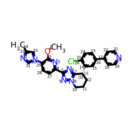 COc1nc(-c2nc3n(n2)CCC[C@H]3c2cc(-c3ccncc3)ccc2Cl)ccc1-n1cnc(C)c1